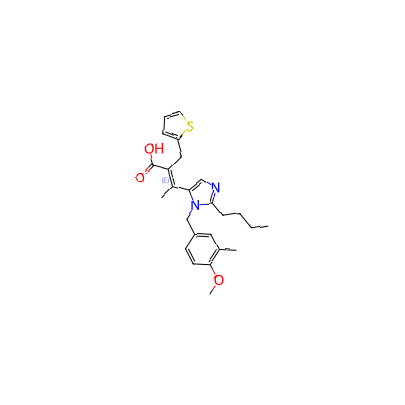 CCCCc1ncc(/C(C)=C(\Cc2cccs2)C(=O)O)n1Cc1ccc(OC)c(C)c1